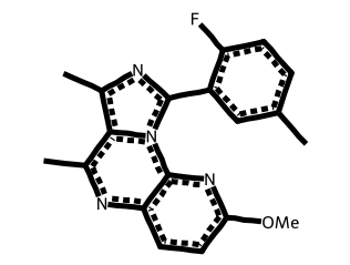 COc1ccc2nc(C)c3c(C)nc(-c4cc(C)ccc4F)n3c2n1